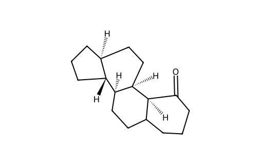 O=C1CCCC2CC[C@H]3[C@@H]4CCC[C@H]4CC[C@H]3[C@@H]12